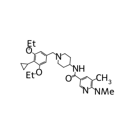 CCOc1cc(CN2CCC(NC(=O)c3cnc(NC)c(C)c3)CC2)cc(OCC)c1C1CC1